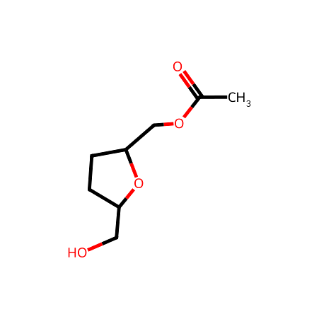 CC(=O)OCC1CCC(CO)O1